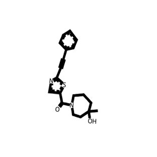 CC1(O)CCCN(C(=O)c2cnc(C#Cc3ccccc3)s2)CC1